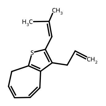 C=CCc1c(C=C(C)C)sc2c1C=CC=CC2